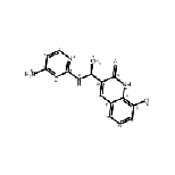 C[C@H](Nc1nccc(N)n1)c1cc2cccc(Cl)c2[nH]c1=O